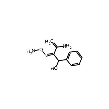 C=C(N)/C(=N\ON)C(O)c1ccccc1